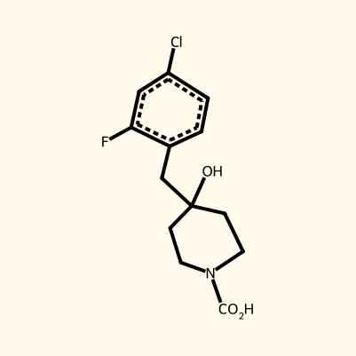 O=C(O)N1CCC(O)(Cc2ccc(Cl)cc2F)CC1